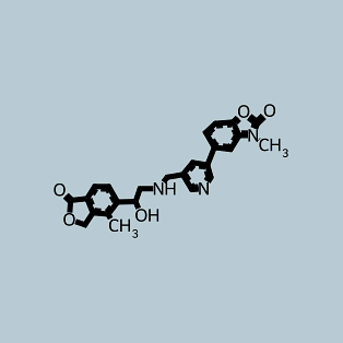 Cc1c(C(O)CNCc2cncc(-c3ccc4oc(=O)n(C)c4c3)c2)ccc2c1COC2=O